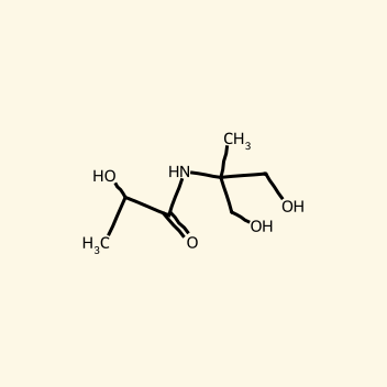 CC(O)C(=O)NC(C)(CO)CO